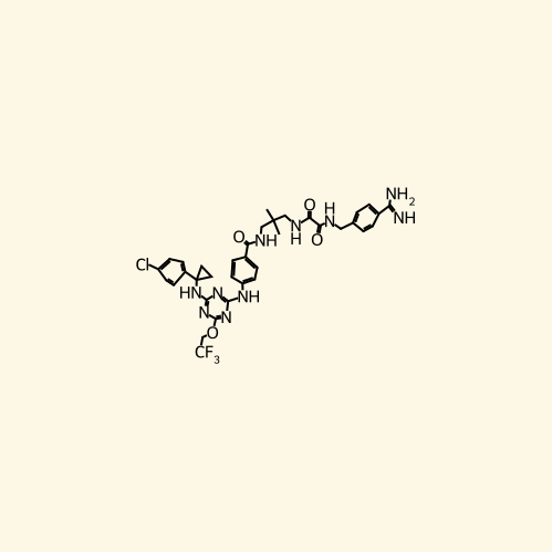 CC(C)(CNC(=O)C(=O)NCc1ccc(C(=N)N)cc1)CNC(=O)c1ccc(Nc2nc(NC3(c4ccc(Cl)cc4)CC3)nc(OCC(F)(F)F)n2)cc1